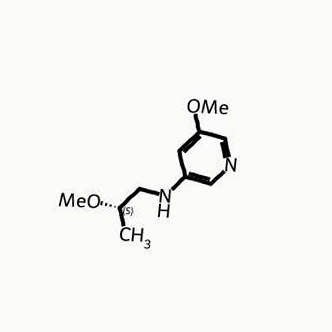 COc1cncc(NC[C@H](C)OC)c1